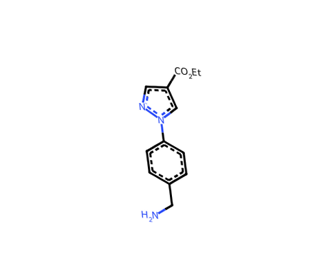 CCOC(=O)c1cnn(-c2ccc(CN)cc2)c1